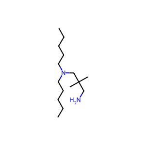 CCCCCN(CCCCC)CC(C)(C)CN